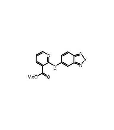 COC(=O)c1cccnc1Nc1ccc2nsnc2c1